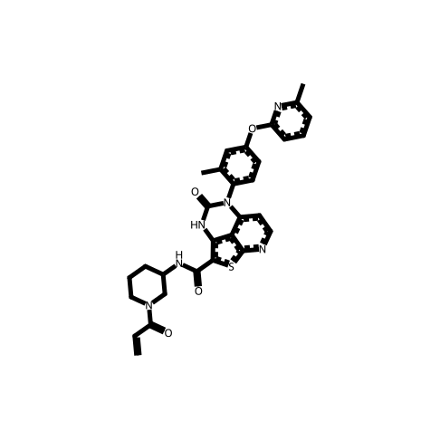 C=CC(=O)N1CCCC(NC(=O)c2sc3nccc4c3c2NC(=O)N4c2ccc(Oc3cccc(C)n3)cc2C)C1